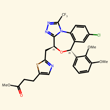 COC(=O)CCc1cnc(C[C@@H]2O[C@@H](c3cccc(OC)c3OC)c3cc(Cl)ccc3-n3c2nnc3C(F)(F)F)s1